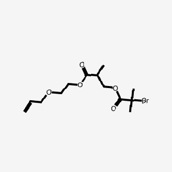 C=CCOCCOC(=O)C(C)COC(=O)C(C)(C)Br